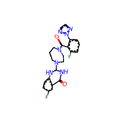 O=C1NC(N2CCCN(C(=O)c3c(F)cccc3-n3nccn3)CC2)Nc2ccc(F)cc21